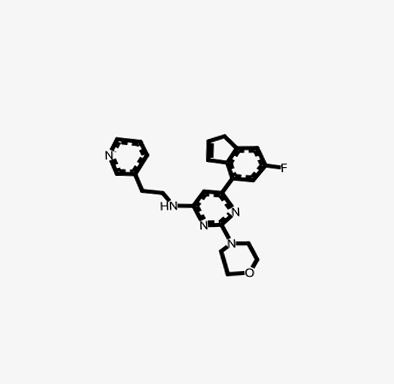 Fc1cc2c(c(-c3cc(NCCc4cccnc4)nc(N4CCOCC4)n3)c1)C=CC2